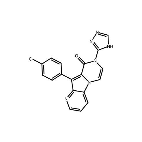 O=c1c2c(-c3ccc(Cl)cc3)c3ncccc3n2ccn1-c1nnc[nH]1